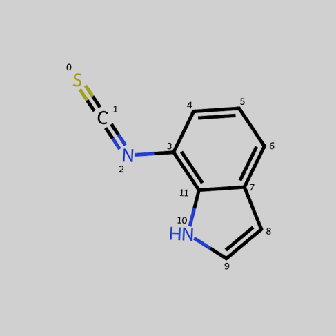 S=C=Nc1cccc2cc[nH]c12